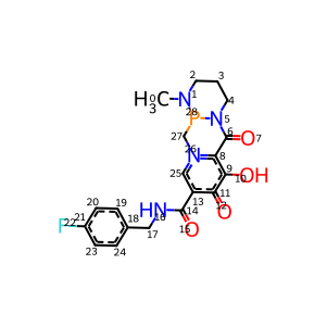 CN1CCCN2C(=O)c3c(O)c(=O)c(C(=O)NCc4ccc(F)cc4)cn3CP12